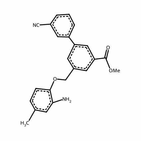 COC(=O)c1cc(COc2ccc(C)cc2N)cc(-c2cccc(C#N)c2)c1